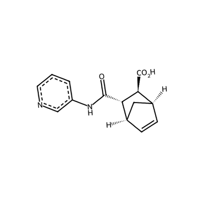 O=C(Nc1cccnc1)[C@@H]1[C@@H](C(=O)O)[C@H]2C=C[C@@H]1C2